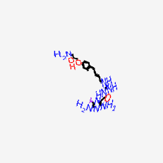 N=C(NCCCCc1ccc(OCC(O)CN)cc1)NC(=O)c1nc(I)c(N)nc1N